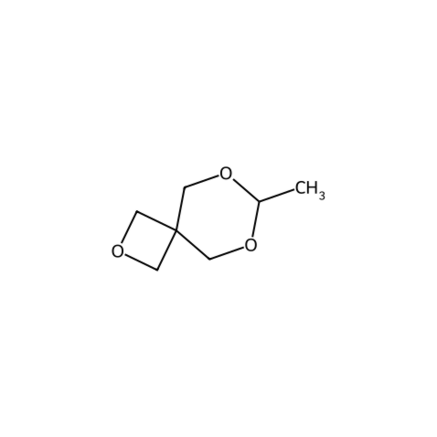 CC1OCC2(COC2)CO1